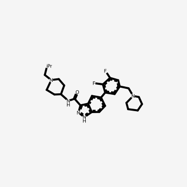 CC(C)CN1CCC(NC(=O)c2n[nH]c3ccc(-c4cc(CN5CCCCC5)cc(F)c4F)cc23)CC1